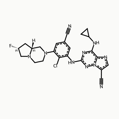 N#Cc1cc(Nc2nc(NC3CC3)c3ncc(C#N)n3n2)c(Cl)c(N2CCN3C[C@H](F)C[C@@H]3C2)c1